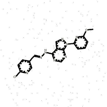 COc1cccc(-n2ncc3c(NN=Cc4ccc(Cl)nc4)ncnc32)n1